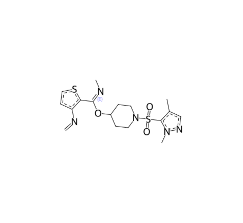 C=Nc1ccsc1/C(=N\C)OC1CCN(S(=O)(=O)c2c(C)cnn2C)CC1